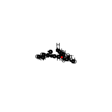 Cc1ccccc1[C@@H]1CN([C@H]2CCOc3c(N4CCOC[C@@H]4C)ncc(F)c32)CCN1C1CC2(CCN(c3ccc(C(=O)NS(=O)(=O)c4ccc(NCC5CCOCC5)c([N+](=O)[O-])c4)c(N4c5cc6cc[nH]c6nc5O[C@H]5COCC[C@@H]54)c3)CC2)C1